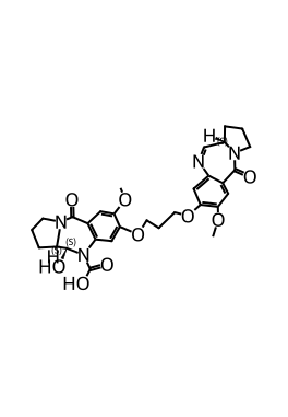 COc1cc2c(cc1OCCCOc1cc3c(cc1OC)C(=O)N1CCC[C@H]1[C@H](O)N3C(=O)O)N=C[C@@H]1CCCN1C2=O